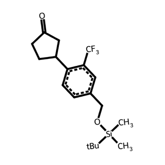 CC(C)(C)[Si](C)(C)OCc1ccc(C2CCC(=O)C2)c(C(F)(F)F)c1